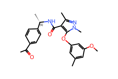 COc1cc(C)cc(Oc2c(C(=O)N[C@@H](C)c3ccc(C(C)=O)cc3)c(C)nn2C)c1